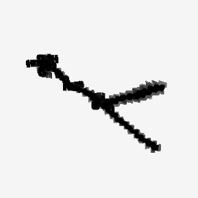 CCCCCCCCCCCCCCCCCCOC[C@@H](COC(=O)NCCCCCC(=O)NCCOCCOCCO[C@H]1OC(CO)[C@@H](O)C(O)C1O)OCCCCCCCCCCCCCCCCCC